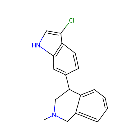 CN1Cc2ccccc2C(c2ccc3c(Cl)c[nH]c3c2)C1